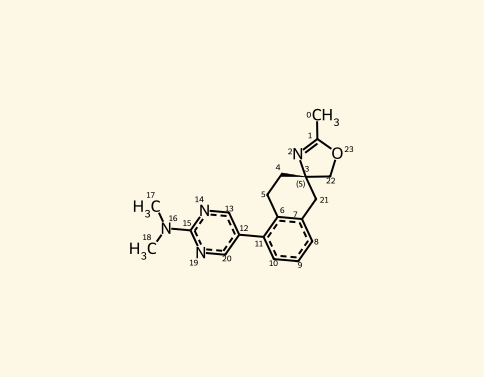 CC1=N[C@]2(CCc3c(cccc3-c3cnc(N(C)C)nc3)C2)CO1